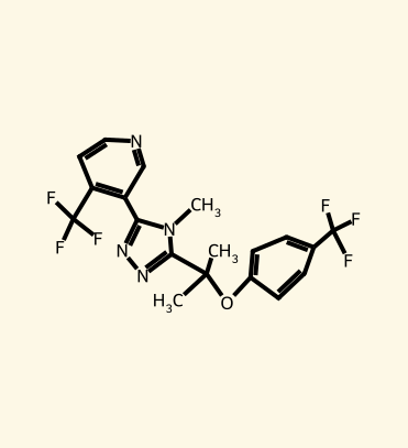 Cn1c(-c2cnccc2C(F)(F)F)nnc1C(C)(C)Oc1ccc(C(F)(F)F)cc1